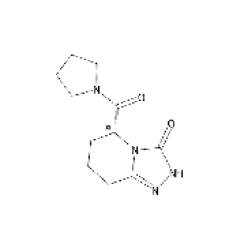 O=C([C@H]1CCCc2n[nH]c(=O)n21)N1CCCC1